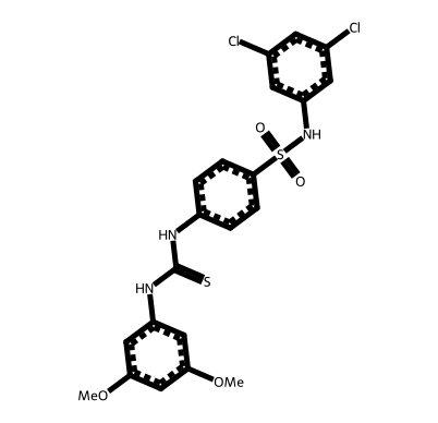 COc1cc(NC(=S)Nc2ccc(S(=O)(=O)Nc3cc(Cl)cc(Cl)c3)cc2)cc(OC)c1